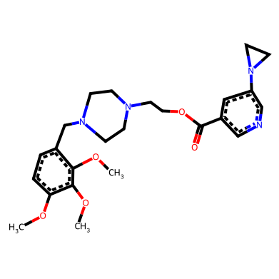 COc1ccc(CN2CCN(CCOC(=O)c3cncc(N4CC4)c3)CC2)c(OC)c1OC